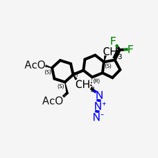 CC(=O)OC[C@H]1C[C@@H](OC(C)=O)CC[C@]1(C)C1CC[C@]2(C)C(=C(F)F)CCC2[C@@H]1CN=[N+]=[N-]